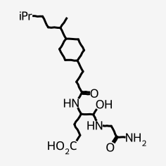 CC(C)CCC(C)C1CCC(CCC(=O)NC(CCC(=O)O)C(O)NCC(N)=O)CC1